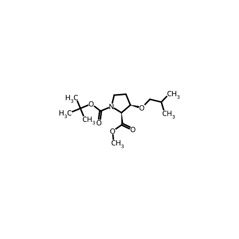 COC(=O)[C@@H]1[C@H](OCC(C)C)CCN1C(=O)OC(C)(C)C